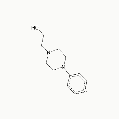 OCCN1CCN(c2cc[c]cc2)CC1